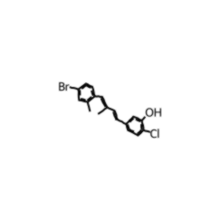 CC(/C=C/c1ccc(Cl)c(O)c1)=C\c1ccc(Br)cc1C